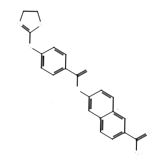 Cl.Cl.N=C(N)c1ccc2cc(OC(=O)c3ccc(NC4=NCCN4)cc3)ccc2c1